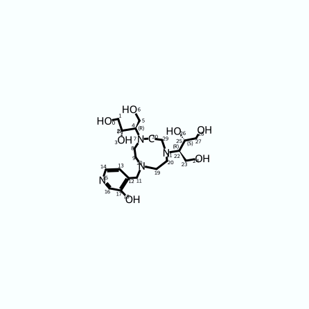 OC[C@@H](O)[C@@H](CO)N1CCN(Cc2ccncc2O)CCN([C@H](CO)[C@H](O)CO)CC1